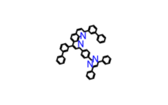 c1ccc(-c2cccc(-c3ccc4ccc5c(-c6cccc(-c7ccccc7)c6)cc(-c6ccc(-c7nc(-c8ccccc8)cc(-c8ccccc8)n7)cc6)nc5c4n3)c2)cc1